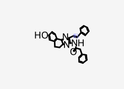 O=C(Cc1ccccc1)Nc1nc2c(nc1/C=C/c1ccccc1)-c1ccc(O)cc1CC2